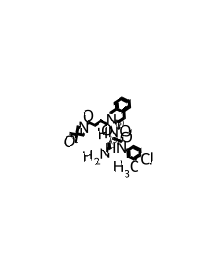 Cc1cc(NC(=O)[C@H](CCN)NC(=O)[C@@H]2Cc3ccccc3CN2C(=O)CCC(=O)N2CC3(COC3)C2)ccc1Cl